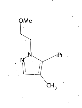 COCCn1ncc(C)c1C(C)C